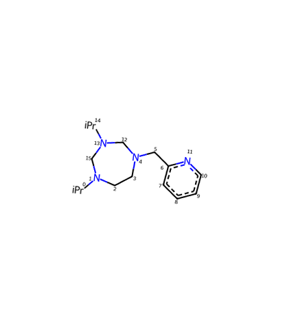 CC(C)N1CCN(Cc2ccccn2)CN(C(C)C)C1